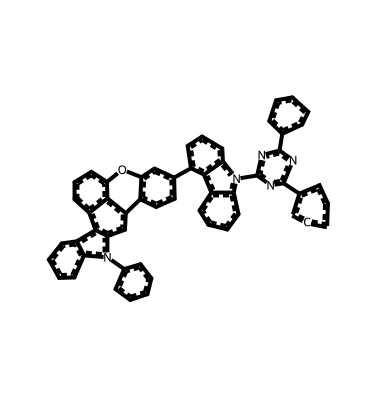 c1ccc(-c2nc(-c3ccccc3)nc(-n3c4ccccc4c4c(-c5ccc6c(c5)Oc5cccc7c5c-6cc5c7c6ccccc6n5-c5ccccc5)cccc43)n2)cc1